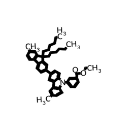 CCCCCCC1(CCCCCC)c2cc(C)ccc2-c2ccc(-c3ccc4c(c3)c3cc(C)ccc3n4-c3cccc(C(=O)OCC)c3)cc21